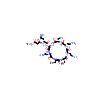 CCCCCCC[C@@H](O)CC(=O)N[C@H](CCN)C(=O)N[C@H]1CNC(=O)[C@H](CC(C)C)NC(=O)[C@H](CCN)NC(=O)[C@H](CCN)NC(=O)[C@H](CC(C)C)NC(=O)[C@@H](CC(C)C)NC(=O)[C@H](CCN)NC1=O